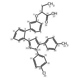 CCC(Oc1cccc(-c2ccccc2-c2cc(-c3ccc(C)cc3)n(-c3ccc(Cl)cc3)n2)c1)C(=O)O